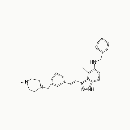 Cc1c(NCc2ccccn2)ccc2[nH]nc(C=Cc3cccc(CN4CCN(C)CC4)c3)c12